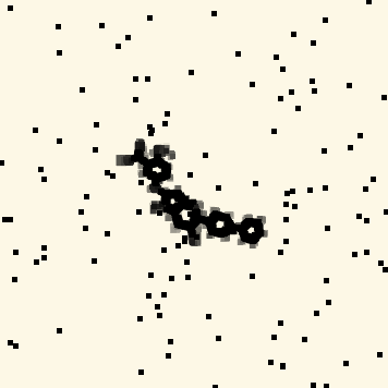 Cc1ccc(Oc2cc3nc(-c4ccc(-c5ccccc5)cc4)c(Cl)cc3[nH]2)cc1C(=O)O